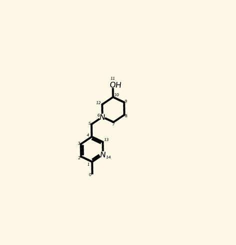 Cc1ccc(CN2CCCC(O)C2)cn1